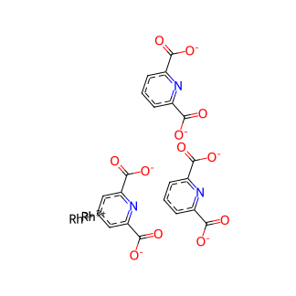 O=C([O-])c1cccc(C(=O)[O-])n1.O=C([O-])c1cccc(C(=O)[O-])n1.O=C([O-])c1cccc(C(=O)[O-])n1.[Rh+3].[Rh+3]